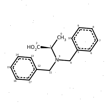 C[C@H](C(=O)O)N(Cc1ccccc1)Cc1ccccc1